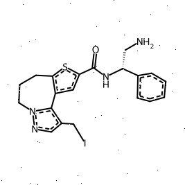 NC[C@@H](NC(=O)c1cc2c(s1)CCCn1ncc(CI)c1-2)c1ccccc1